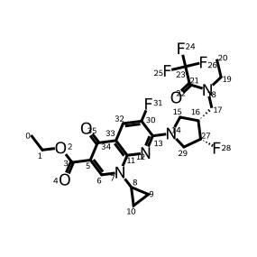 CCOC(=O)c1cn(C2CC2)c2nc(N3C[C@H](CN(CC)C(=O)C(F)(F)F)[C@H](F)C3)c(F)cc2c1=O